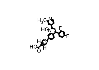 Cc1cc(C(C[C@H](c2ccc(N3C[C@@H]4C(C(=O)O)[C@@H]4C3)cc2)c2ccc(F)cc2F)=NO)ccn1